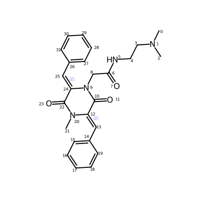 CN(C)CCNC(=O)Cn1c(=O)/c(=C/c2ccccc2)n(C)c(=O)/c1=C/c1ccccc1